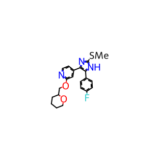 CSc1nc(-c2ccnc(OCC3CCCCO3)c2)c(-c2ccc(F)cc2)[nH]1